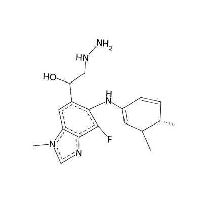 CC1C=C(Nc2c(C(O)CNN)cc3c(ncn3C)c2F)C=C[C@@H]1C